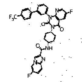 O=C(N[C@H]1CC[C@@H](n2c(=O)c3cc(F)cnc3n(-c3cccc(-c4ccc(C(F)(F)F)cc4)c3)c2=O)CC1)c1cn2cc(F)ccc2n1